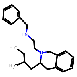 CCC(C)CC1Cc2ccccc2CN1CCNCc1ccccc1